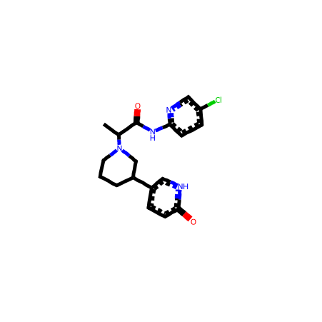 CC(C(=O)Nc1ccc(Cl)cn1)N1CCCC(c2ccc(=O)[nH]c2)C1